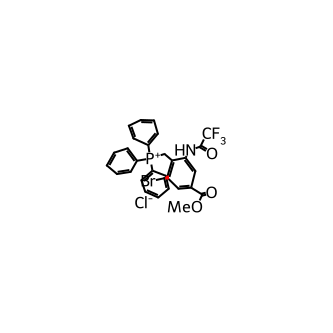 COC(=O)c1cc(Br)c(C[P+](c2ccccc2)(c2ccccc2)c2ccccc2)c(NC(=O)C(F)(F)F)c1.[Cl-]